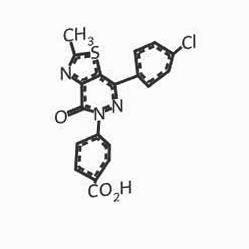 Cc1nc2c(=O)n(-c3ccc(C(=O)O)cc3)nc(-c3ccc(Cl)cc3)c2s1